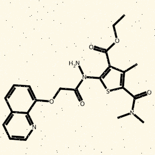 CCOC(=O)c1c(N(N)C(=O)COc2cccc3cccnc23)sc(C(=O)N(C)C)c1C